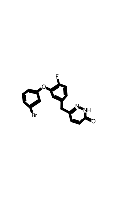 O=c1ccc(Cc2ccc(F)c(Oc3cccc(Br)c3)c2)n[nH]1